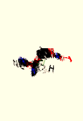 Cc1cc(OCCCN2CCC(O)C2)ccc1-c1cccc(COc2cc(OCc3cncc(C#N)c3)c(CN3CCCCC3C(=O)O)cc2Cl)c1C